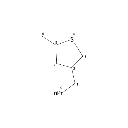 CCCCC1CSC(C)C1